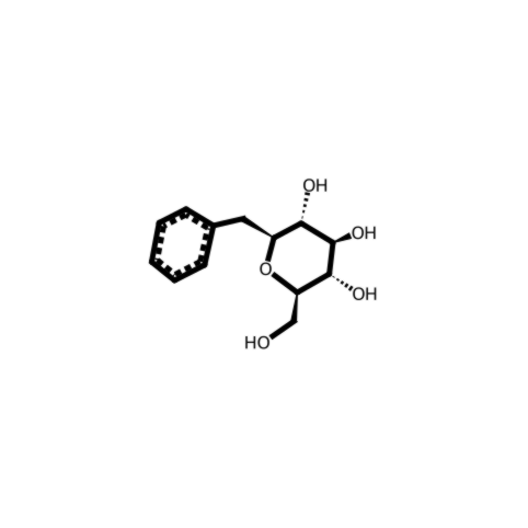 OC[C@H]1O[C@@H](Cc2ccccc2)[C@H](O)[C@@H](O)[C@@H]1O